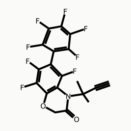 C#CC(C)(C)N1C(=O)COc2c(F)c(F)c(-c3c(F)c(F)c(F)c(F)c3F)c(F)c21